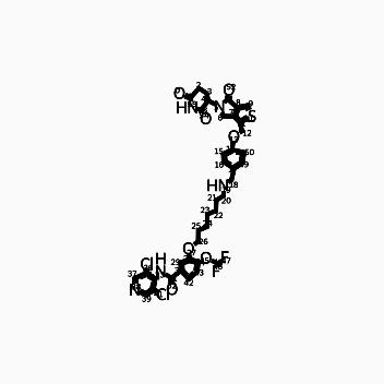 O=C1CCC(N2Cc3c(csc3COc3ccc(CNCCCCCCCOc4cc(C(=O)Nc5c(Cl)cncc5Cl)ccc4OC(F)F)cc3)C2=O)C(=O)N1